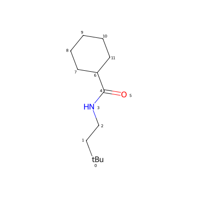 CC(C)(C)CCNC(=O)C1CCCCC1